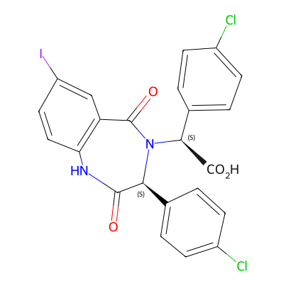 O=C(O)[C@H](c1ccc(Cl)cc1)N1C(=O)c2cc(I)ccc2NC(=O)[C@@H]1c1ccc(Cl)cc1